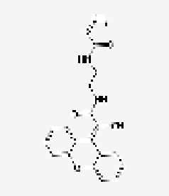 C=CC(=O)NCCNC(=O)C(C#N)=C1c2ccccc2Oc2ccccc21